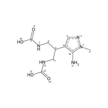 Cn1ncc(C(CNC(=O)O)CNC(=O)O)c1N